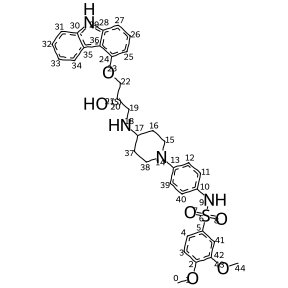 COc1ccc(S(=O)(=O)Nc2ccc(N3CCC(NC[C@H](O)COc4cccc5[nH]c6ccccc6c45)CC3)cc2)cc1OC